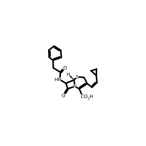 O=C(Cc1ccccc1)NC1C(=O)N2C(C(=O)O)=C(/C=C\C3CC3)CS[C@@H]12